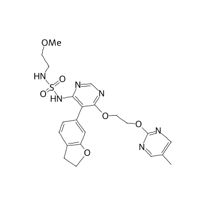 COCCNS(=O)(=O)Nc1ncnc(OCCOc2ncc(C)cn2)c1-c1ccc2c(c1)OCC2